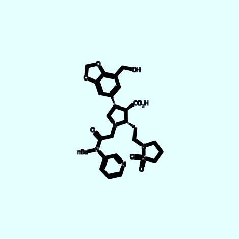 CCCCN(C(=O)CN1C[C@H](c2cc(CO)c3c(c2)OCO3)[C@@H](C(=O)O)[C@@H]1CCN1CCCS1(=O)=O)c1cccnc1